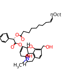 CCCCCCCC/C=C\CCCCCCCC(=O)O[C@H](C(=O)OC1=CC[C@@]2(O)[C@H]3Cc4ccc(CO)c5c4[C@@]2(CCN3C)[C@H]1O5)c1ccccc1